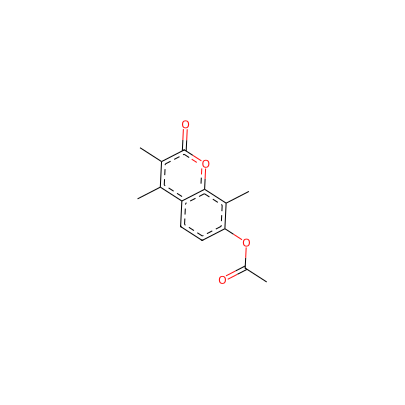 CC(=O)Oc1ccc2c(C)c(C)c(=O)oc2c1C